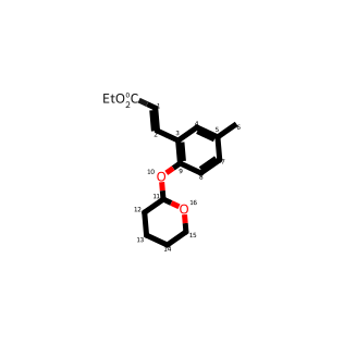 CCOC(=O)C=Cc1cc(C)ccc1OC1CCCCO1